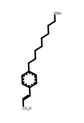 CCCCCCCCCCCCCCCCCCc1ccc(C=CC(=O)O)cc1